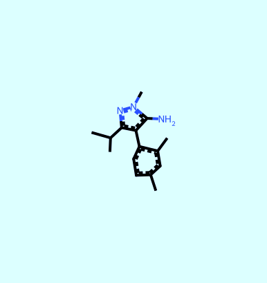 Cc1ccc(-c2c(C(C)C)nn(C)c2N)c(C)c1